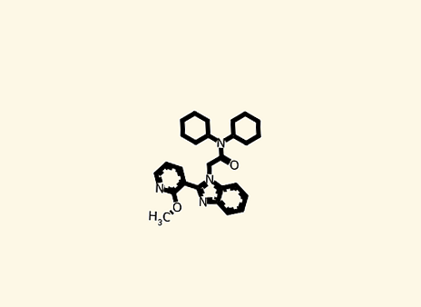 COc1ncccc1-c1nc2ccccc2n1CC(=O)N(C1CCCCC1)C1CCCCC1